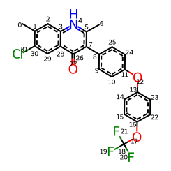 Cc1cc2[nH]c(C)c(-c3ccc(Oc4ccc(OC(F)(F)F)cc4)cc3)c(=O)c2cc1Cl